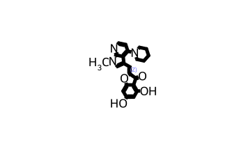 Cn1cc(/C=C2\Oc3cc(O)cc(O)c3C2=O)c2c(N3CCCCC3)ccnc21